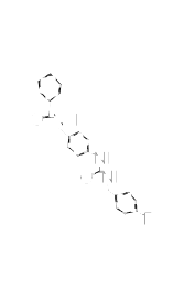 O=C(NCc1ccc(F)cc1)Nc1ccc(CNC(=O)c2ccccc2)cc1